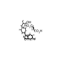 C[C@@H](CO)CN1CCC(c2noc3cc(F)ccc23)CC1.O=C(O)C=CC(=O)O